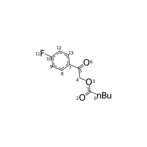 CCCCC(=O)OCC(=O)c1ccc(F)cc1